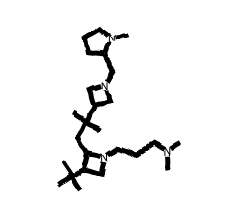 CN(C)CCCN1CC(C(C)(C)C)C1CC(C)(C)C1CN(CC2CCCN2C)C1